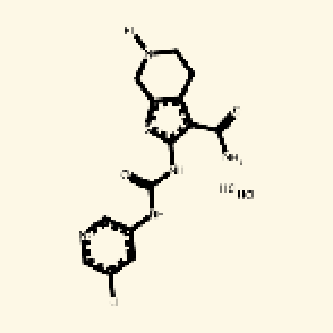 CCN1CCc2c(sc(NC(=O)Nc3cncc(Cl)c3)c2C(N)=O)C1.Cl.Cl